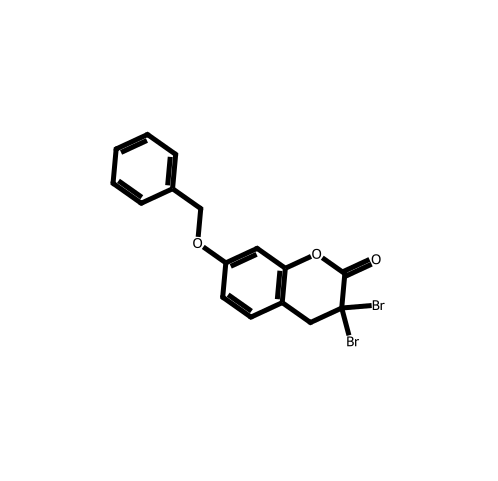 O=C1Oc2cc(OCc3ccccc3)ccc2CC1(Br)Br